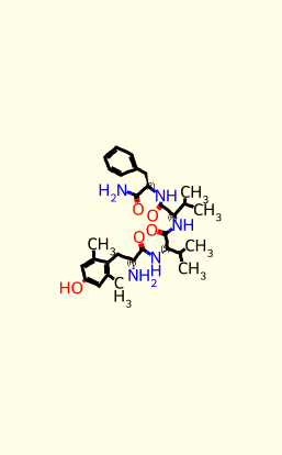 Cc1cc(O)cc(C)c1C[C@@H](N)C(=O)N[C@H](C(=O)N[C@@H](C(=O)N[C@H](Cc1ccccc1)C(N)=O)C(C)C)C(C)C